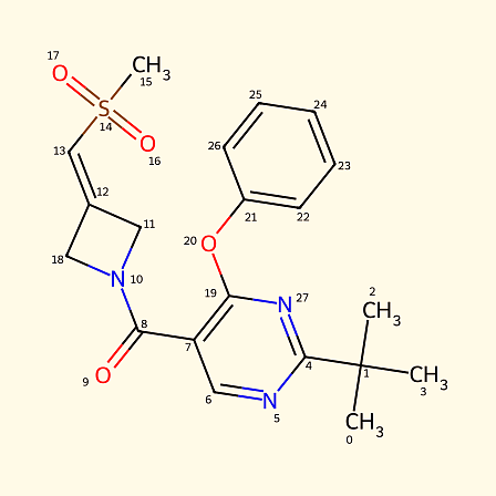 CC(C)(C)c1ncc(C(=O)N2CC(=CS(C)(=O)=O)C2)c(Oc2ccccc2)n1